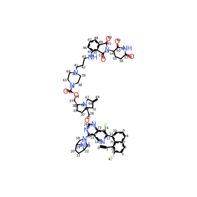 C#Cc1c(F)ccc2cccc(-c3ncc4c(N5CC6CCC(C5)N6)nc(OC[C@@]56CC[C@@H](COC(=O)N7CCN(CCCNc8cccc9c8C(=O)N(C8CCC(=O)NC8=O)C9=O)CC7)N5CC(=C)C6)nc4c3F)c12